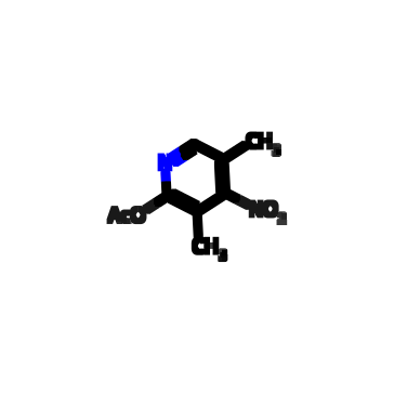 CC(=O)Oc1ncc(C)c([N+](=O)[O-])c1C